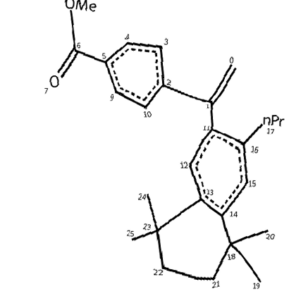 C=C(c1ccc(C(=O)OC)cc1)c1cc2c(cc1CCC)C(C)(C)CCC2(C)C